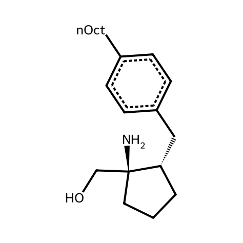 CCCCCCCCc1ccc(C[C@@H]2CCC[C@]2(N)CO)cc1